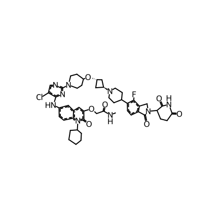 CNC(=O)COc1cc2cc(Nc3nc(N4CCC(O[C@H]5C[C@H](N6CCC(c7ccc8c(c7F)CN(C7CCC(=O)NC7=O)C8=O)CC6)C5)CC4)ncc3Cl)ccc2n(C2CCCCC2)c1=O